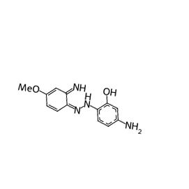 COC1=CC(=N)/C(=N\Nc2ccc(N)cc2O)C=C1